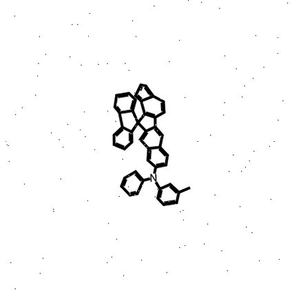 Cc1cccc(N(c2ccccc2)c2ccc3cc4c(cc3c2)C2(c3ccccc3-c3ccccc32)c2c-4ccc3ccccc23)c1